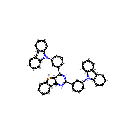 c1cc(-c2nc(-c3cccc(-n4c5ccccc5c5ccccc54)c3)c3sc4ccccc4c3n2)cc(-n2c3ccccc3c3ccccc32)c1